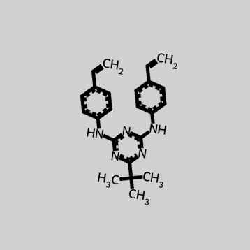 C=Cc1ccc(Nc2nc(Nc3ccc(C=C)cc3)nc(C(C)(C)C)n2)cc1